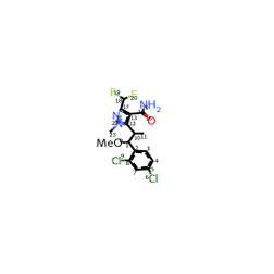 COC(c1ccc(Cl)cc1Cl)C(C)c1c(C(N)=O)c(C(F)F)nn1C